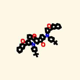 CC(C)(C)c1ccc(N(c2ccc3c(c2)C(=O)c2cc(N(c4ccc(C(C)(C)C)cc4)c4ccc5oc6cc7ccccc7cc6c5c4)c4c(oc5ccccc54)c2-3)c2ccc3oc4cc5ccccc5cc4c3c2)cc1